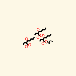 CCCCC(=O)C(CC)C(=O)[O-].CCCCC(=O)C(CC)C(=O)[O-].CCCCC(=O)C(CC)C(=O)[O-].[Al+3]